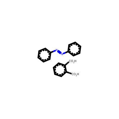 O=C(O)c1ccccc1C(=O)O.c1ccc(N=Nc2ccccc2)cc1